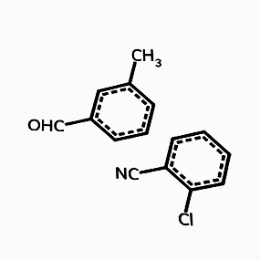 Cc1cccc(C=O)c1.N#Cc1ccccc1Cl